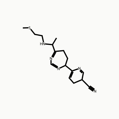 CSCCNC(C)C1=NC=NC(C2=CCC(C#N)C=N2)CC1